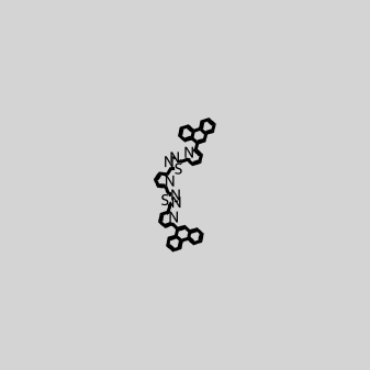 c1cc(-c2nnc(-c3cccc(-c4cc5ccccc5c5ccccc45)n3)s2)nc(-c2nnc(-c3cccc(-c4cc5ccccc5c5ccccc45)n3)s2)c1